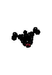 Cc1cc(-c2coc3ccccc23)cc(C)c1N1c2cc(C(C)(C)C)cc3c2B(c2c1oc1ccc(C(C)(C)C)cc21)c1c(oc2ccc(C(C)(C)C)cc12)N3c1c(C)cc(-c2coc3ccccc23)cc1C